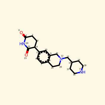 O=C1CCC(c2ccc3c(c2)CN(CC2CCNCC2)CC3)C(=O)N1